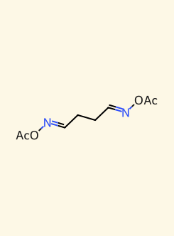 CC(=O)ON=CCCC=NOC(C)=O